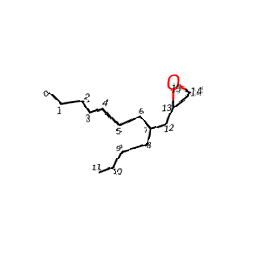 CC[CH]CCCCC(CCCC)CC1CO1